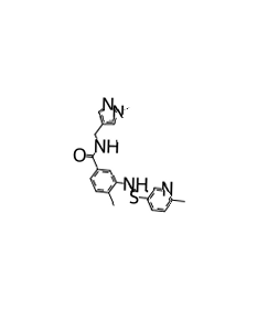 Cc1ccc(SNc2cc(C(=O)NCc3cnn(C)c3)ccc2C)cn1